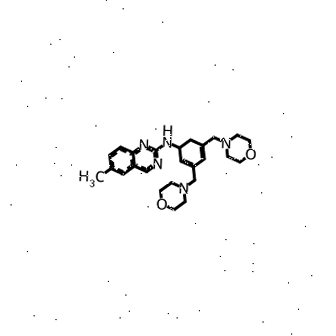 Cc1ccc2nc(NC3C=C(CN4CCOCC4)C=C(CN4CCOCC4)C3)ncc2c1